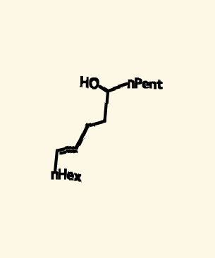 CCCCCCC=CCCC(O)CCCCC